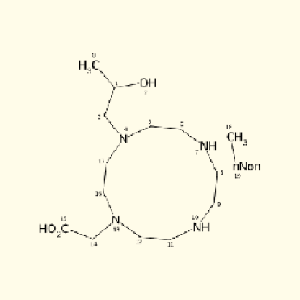 CC(O)CN1CCNCCNCCN(CC(=O)O)CC1.CCCCCCCCCC